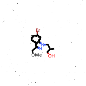 COCc1nn(CC(C)CO)c2cc(Br)ccc12